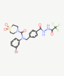 O=C(NNC(=O)C(F)(F)F)c1ccc(CN(C(=O)N2CCS(=O)(=O)CC2)c2cccc(Br)c2)cc1